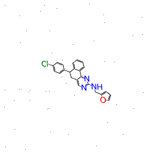 Clc1ccc(C2Cc3cnc(NCc4ccco4)nc3-c3ccccc32)cc1